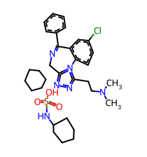 C1CCCCC1.CN(C)CCc1nnc2n1-c1ccc(Cl)cc1C(c1ccccc1)=NC2.O=S(=O)(O)NC1CCCCC1